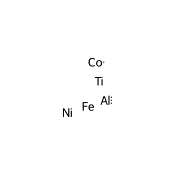 [Al].[Co].[Fe].[Ni].[Ti]